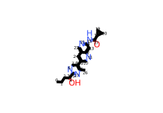 CCCC(O)c1ncc(-c2cnc3cc(NC(=O)C4CC4)ncc3c2)c(C)n1